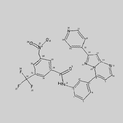 O=C(Nc1cccc(-c2ccnc3cc(-c4ccncc4)nn23)c1)c1cc([N+](=O)[O-])cc(C(F)(F)F)c1